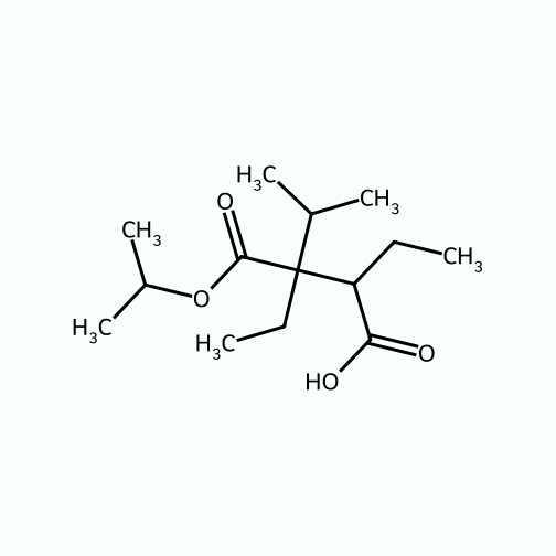 CCC(C(=O)O)C(CC)(C(=O)OC(C)C)C(C)C